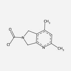 Cc1cc(C)c2c(n1)CN(C(=O)Cl)C2